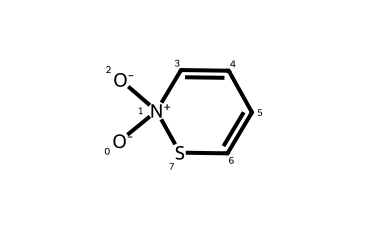 [O-][N+]1([O-])C=CC=CS1